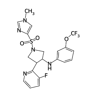 Cn1cnc(S(=O)(=O)N2CC(Nc3cccc(OC(F)(F)F)c3)C(c3ncccc3F)C2)c1